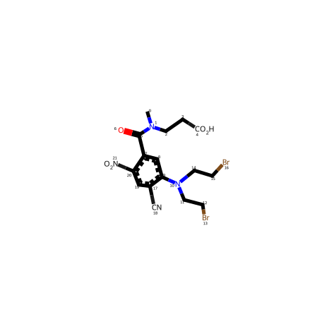 CN(CCC(=O)O)C(=O)c1cc(N(CCBr)CCBr)c(C#N)cc1[N+](=O)[O-]